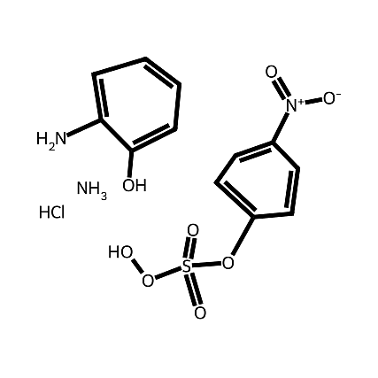 Cl.N.Nc1ccccc1O.O=[N+]([O-])c1ccc(OS(=O)(=O)OO)cc1